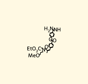 CCOC(=O)CN(CCCOC)C(=O)C(C)=Cc1ccc(C(=O)Oc2ccc(C(=N)N)cc2)cc1